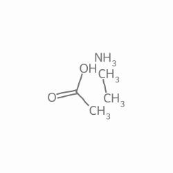 CC.CC(=O)O.N